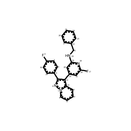 Fc1ccc(-c2nn3ccccc3c2-c2cc(F)nc(NCc3ccccc3)c2)cc1